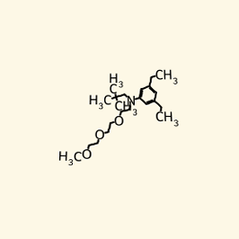 CCc1cc(CC)cc(N(CCOCCOCCOC)CC(C)(C)C)c1